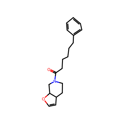 O=C(CCCCCc1ccccc1)N1CCC2C=COC2C1